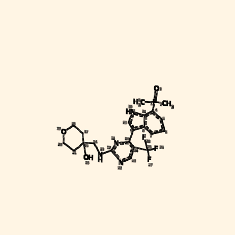 CP(C)(=O)c1cccc2c(-c3nc(NCC4(O)CCOCC4)ncc3C(F)(F)F)c[nH]c12